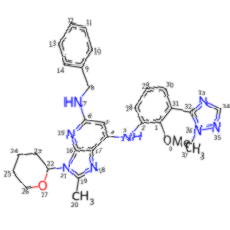 COc1c(Nc2cc(NCc3ccccc3)nc3c2nc(C)n3C2CCCCO2)cccc1-c1ncnn1C